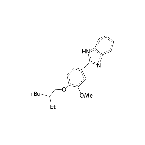 CCCCC(CC)COc1ccc(-c2nc3ccccc3[nH]2)cc1OC